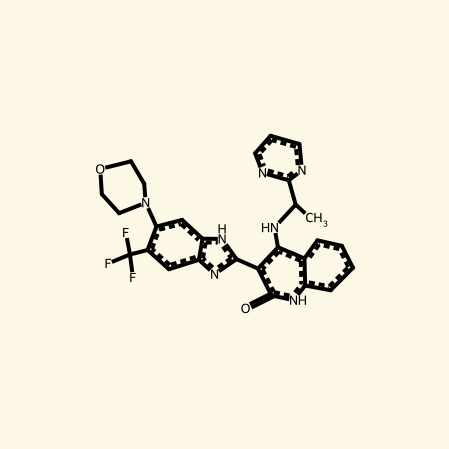 CC(Nc1c(-c2nc3cc(C(F)(F)F)c(N4CCOCC4)cc3[nH]2)c(=O)[nH]c2ccccc12)c1ncccn1